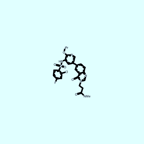 CNC(=O)CCn1cnc2ccc(-c3cnc(OC(C)C)c(NS(=O)(=O)c4ccc(F)cc4Cl)c3)cc2c1=O